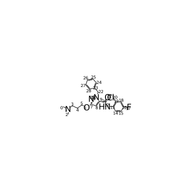 CN(C)CCCOc1cc(C(=O)Nc2ccc(F)cc2Cl)n(Cc2ccccc2)n1